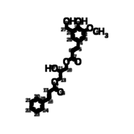 COc1cc(/C=C/C(=O)OCC(O)COC(=O)/C=C/c2ccccc2)cc(CO)c1O